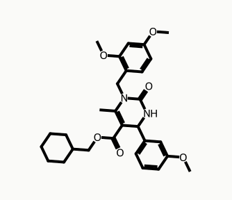 COc1cccc(C2NC(=O)N(Cc3ccc(OC)cc3OC)C(C)=C2C(=O)OCC2CCCCC2)c1